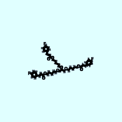 O=C(C=Cc1ccc(F)cc1)OCCCCCOCC(COCCCCCOC(=O)C=Cc1ccc(F)cc1)OCCCCCOC(=O)C=Cc1ccc(F)cc1